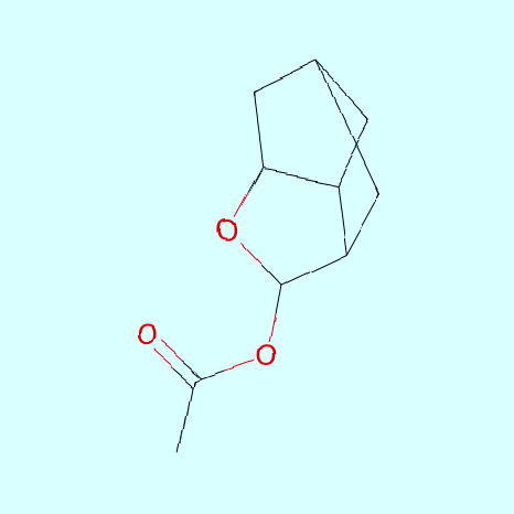 CC(=O)OC1OC2CC3CC2C1C3